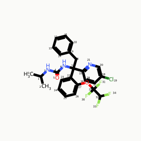 CC(C)NC(=O)NC(Cc1ccccc1)(c1ccc(Cl)cn1)c1ccccc1OC(F)(F)C(F)F